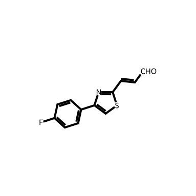 O=CC=Cc1nc(-c2ccc(F)cc2)cs1